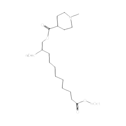 CCCCCCCCCCC(CCCCCCCCC(=O)OCCCCCCCC)COC(=O)C1CCN(C)CC1